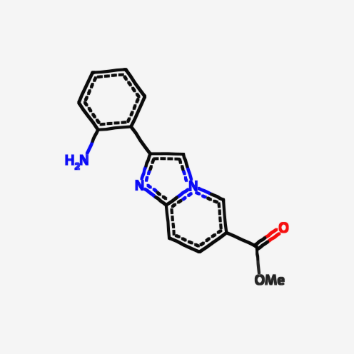 COC(=O)c1ccc2nc(-c3ccccc3N)cn2c1